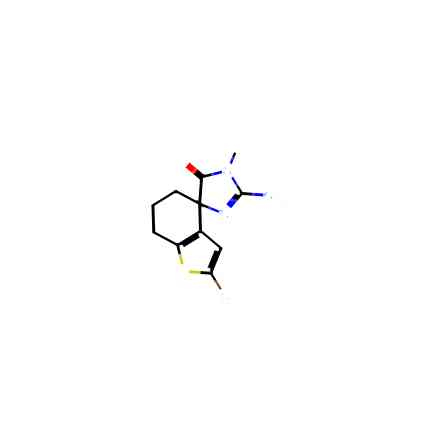 CN1C(=O)C2(CCCc3sc(Br)cc32)N=C1N